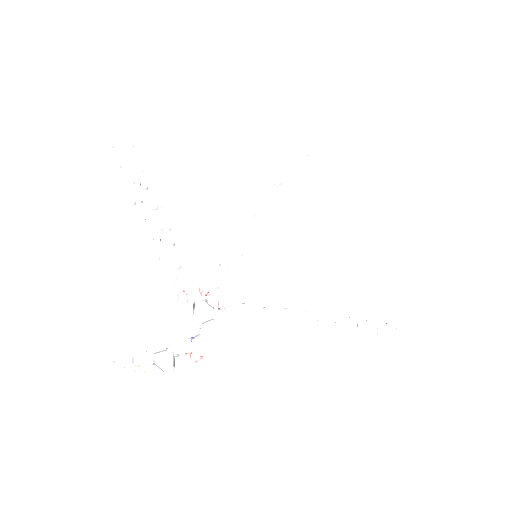 CCCCCCCCCCCCCCCCCOc1cc(/C=C/C(=O)c2ccc(SCCC)cc2)cc(OCCCCCCCCCCCCCCCCC)c1OCCCCCCCCCCCCCCCCC